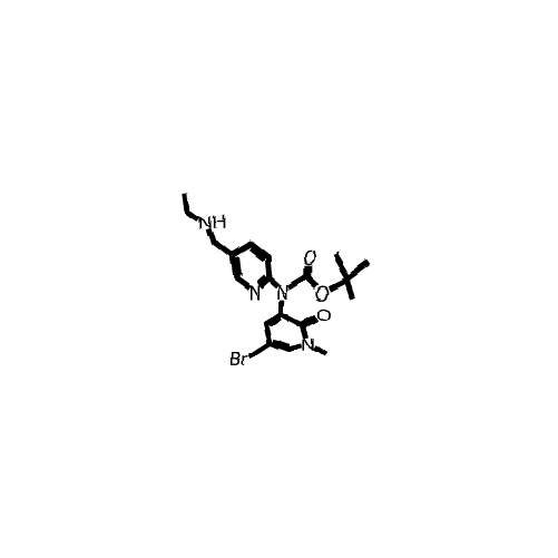 CCNCc1ccc(N(C(=O)OC(C)(C)C)c2cc(Br)cn(C)c2=O)nc1